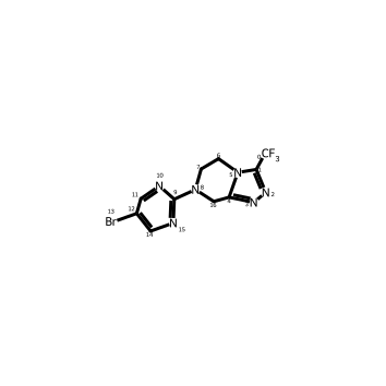 FC(F)(F)c1nnc2n1CCN(c1ncc(Br)cn1)C2